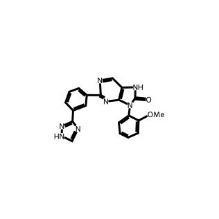 COc1ccccc1-n1c(=O)[nH]c2cnc(-c3cccc(-c4nc[nH]n4)c3)nc21